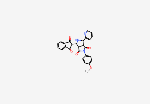 O=C1c2ccccc2C(=O)C1C1NC(c2ccccn2)C2C(=O)N(c3ccc(OC(F)(F)F)cc3)C(=O)C12